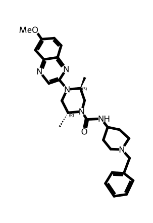 COc1ccc2nc(N3C[C@@H](C)N(C(=O)NC4CCN(Cc5ccccc5)CC4)C[C@@H]3C)cnc2c1